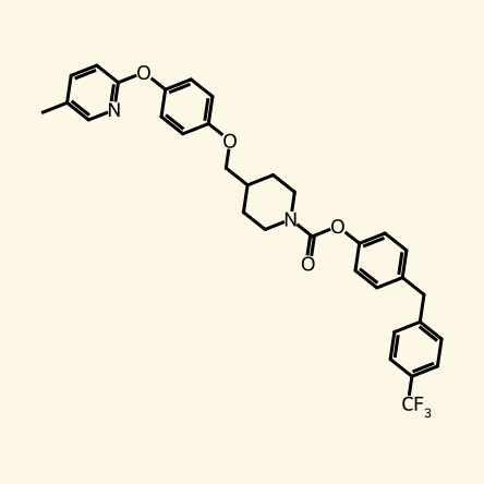 Cc1ccc(Oc2ccc(OCC3CCN(C(=O)Oc4ccc(Cc5ccc(C(F)(F)F)cc5)cc4)CC3)cc2)nc1